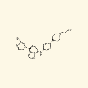 CCc1cc(-c2ccc(Nc3ccc(N4CCN(CCC(C)C)CC4)cc3)c3nccn23)ccn1